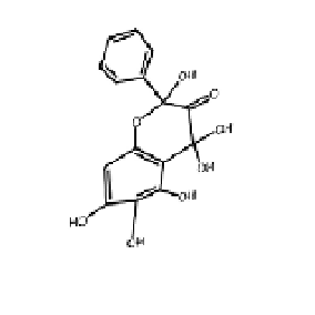 O=C1C(O)(O)c2c(cc(O)c(O)c2O)OC1(O)c1ccccc1